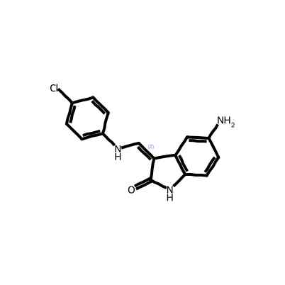 Nc1ccc2c(c1)/C(=C/Nc1ccc(Cl)cc1)C(=O)N2